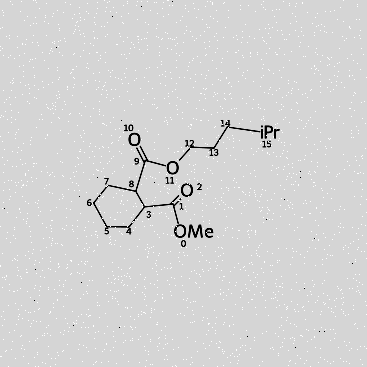 COC(=O)C1CCCCC1C(=O)OCCCC(C)C